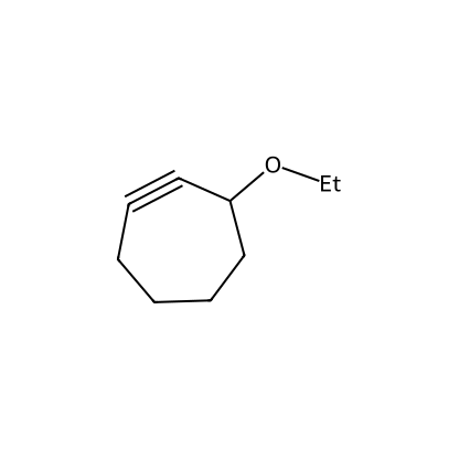 CCOC1C#CCCCC1